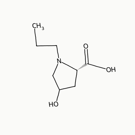 CCCN1CC(O)C[C@H]1C(=O)O